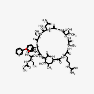 CC[C@H](C)[C@@H]1NC(=O)[C@@H](CCCNC(=N)N)NC(=O)[C@@H]2CC(C)[C@@H](O)[C@H](NC(=O)[C@@H](NC(=O)[C@H](Cc3cccnc3)NC(=O)[C@@H](CC(C)(C)C)NC(=O)OC(C)(C)C)[C@@H](c3ccccc3)OC(=O)[C@H](CO)NC(=O)[C@H]([C@H](O)C(N)=O)NC(=O)CNC(=O)[C@H]([C@H](C)O)NC1=O)C(=O)N2